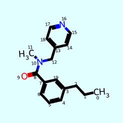 CCCc1cccc(C(=O)N(C)Cc2ccncc2)c1